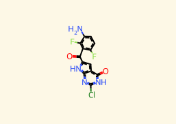 Nc1ccc(F)c(C(=O)c2cc3c(=O)[nH]c(Cl)nc3[nH]2)c1F